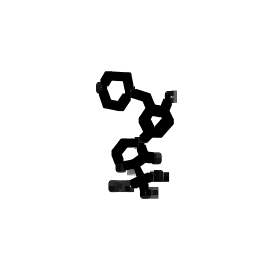 CC(C)(C)C(O)(C=O)[C@H]1OCCN(c2ccc(Cl)c(CN3CCOCC3)c2)C1=O